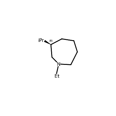 CCN1CCCC[C@H](C(C)C)C1